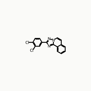 Clc1ccc(-c2nc3c4ccccc4ccn3n2)cc1Cl